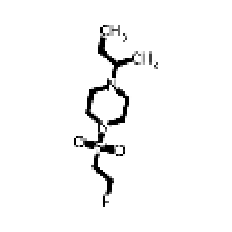 CCC(C)N1CCN(S(=O)(=O)CCF)CC1